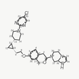 O=C(Cc1ccc(OCC[C@@H]2C[C@@H]2C2CCN(c3ncc(Cl)cn3)CC2)cc1F)N1CCN2C=CNC2C1